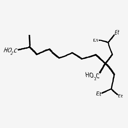 CCC(CC)CC(CCCCCCC(C)C(=O)O)(CC(CC)CC)C(=O)O